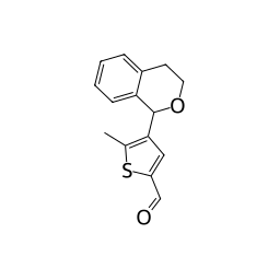 Cc1sc(C=O)cc1C1OCCc2ccccc21